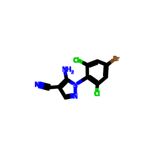 N#Cc1cnn(-c2c(Cl)cc(Br)cc2Cl)c1N